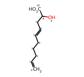 C=CCCCC=CCC(O)C(=O)O